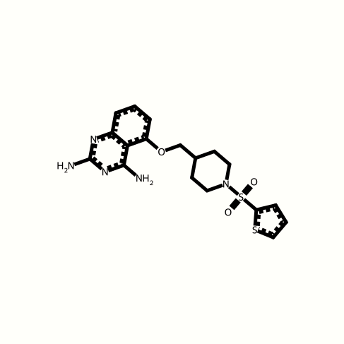 Nc1nc(N)c2c(OCC3CCN(S(=O)(=O)c4cccs4)CC3)cccc2n1